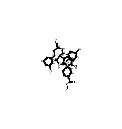 COC(=O)c1ccc(Oc2ccc(I)cc2[C@@H]2NC(=O)CC(c3cccc(Cl)c3)[C@]23C(=O)Nc2cc(Cl)ccc23)cc1